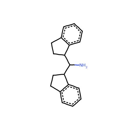 NC(C1CCc2ccccc21)C1CCc2ccccc21